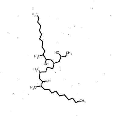 CCCCCCCCCCC(C)C(O)CN(C)CCCN(CC(O)CC)CC(O)C(C)CCCCCCCCCC